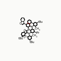 Cc1cc(C(C)(C)C)cc(C)c1N1c2cc(C(C)C)cc3c2B(c2cc(C4=COC5C=CC=CC45)ccc2N3c2c(C)cc(C(C)(C)C)cc2-c2ccccc2)c2oc3ccc(C(C)(C)C)cc3c21